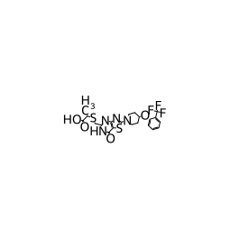 CC(SCc1nc2nc(N3CCC(Oc4ccccc4C(F)(F)F)CC3)sc2c(=O)[nH]1)C(=O)O